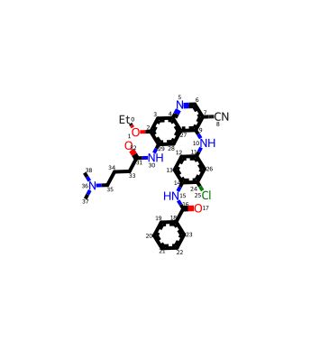 CCOc1cc2ncc(C#N)c(Nc3ccc(NC(=O)c4ccccc4)c(Cl)c3)c2cc1NC(=O)CCCN(C)C